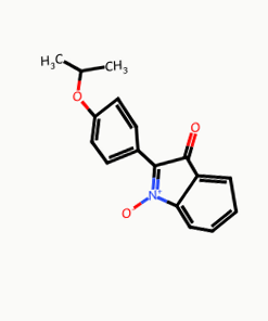 CC(C)Oc1ccc(C2=[N+]([O-])c3ccccc3C2=O)cc1